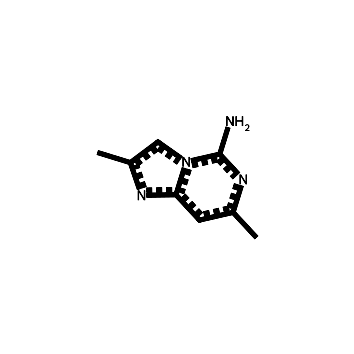 Cc1cc2nc(C)cn2c(N)n1